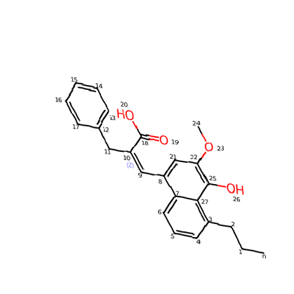 CCCc1cccc2c(/C=C(/Cc3ccccc3)C(=O)O)cc(OC)c(O)c12